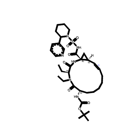 CC[C@H]1C(=O)N[C@]2(C(=O)NS(=O)(=O)N3CCCCC3c3cccnc3)C[C@H]2/C=C\CCCCC[C@H](NC(=O)OC(C)(C)C)C(=O)N1CC